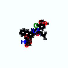 COc1ccc(N(Cc2nc3c(Cc4ccccc4OCC(=O)NS(C)(=O)=O)cccc3[nH]2)C(=O)CCC(C)C)c(Cl)c1OC